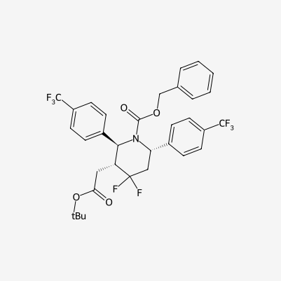 CC(C)(C)OC(=O)C[C@@H]1[C@@H](c2ccc(C(F)(F)F)cc2)N(C(=O)OCc2ccccc2)[C@H](c2ccc(C(F)(F)F)cc2)CC1(F)F